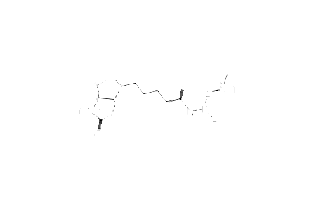 CNSP(F)NC(=O)CCCCC1SCC2NC(=O)NC21